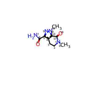 CN1CCc2c(C(N)=O)nn(C)c2C1=O